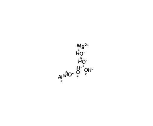 [Al+3].[Mg+2].[OH-].[OH-].[OH-].[OH-].[OH-]